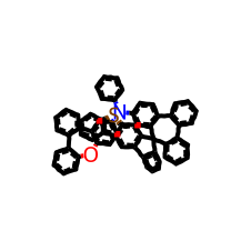 c1ccc(N(c2ccc3c(c2)-c2ccccc2-c2ccccc2O3)c2ccc3c(c2)C2(c4ccccc4-c4ccccc4-3)c3ccccc3-c3cc4c(cc32)sc2ccccc24)cc1